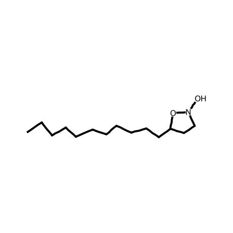 CCCCCCCCCCCC1CCN(O)O1